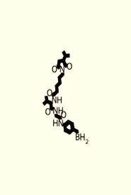 BCc1ccc(NC(=O)CNC(=O)C(NC(=O)CCCCCN2C(=O)CC(C(C)C)C2=O)C(C)C)cc1